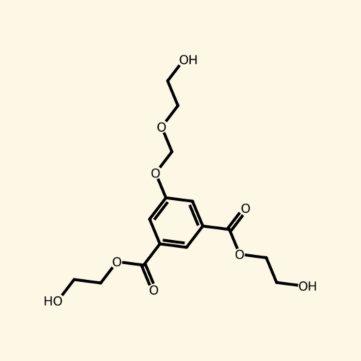 O=C(OCCO)c1cc(OCOCCO)cc(C(=O)OCCO)c1